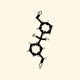 O=Cc1cccc(C(F)(F)c2cccc(C=O)c2)c1